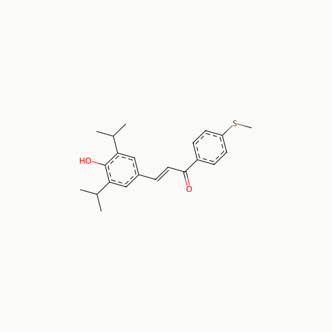 CSc1ccc(C(=O)C=Cc2cc(C(C)C)c(O)c(C(C)C)c2)cc1